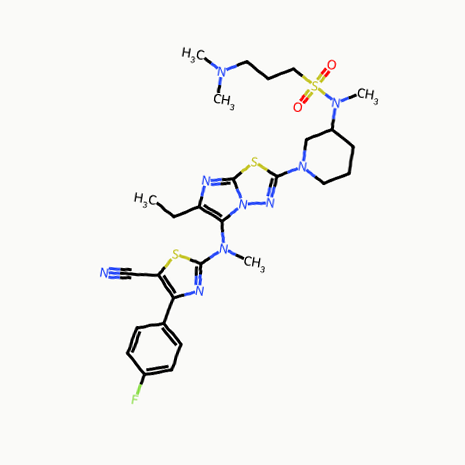 CCc1nc2sc(N3CCCC(N(C)S(=O)(=O)CCCN(C)C)C3)nn2c1N(C)c1nc(-c2ccc(F)cc2)c(C#N)s1